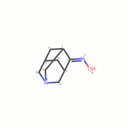 ON=C1C2CC3CC1CN(C3)C2